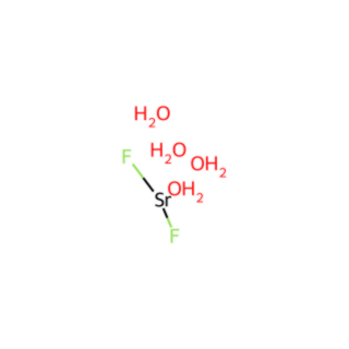 O.O.O.O.[F][Sr][F]